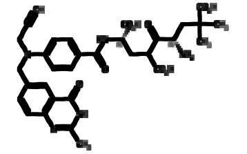 C#CCN(Cc1ccc2nc(C)[nH]c(=O)c2c1)c1ccc(C(=O)N[C@@H](CC(C(=O)O)C(=O)[C@@H](N)CC(C)(C)C(=O)O)C(=O)O)cc1